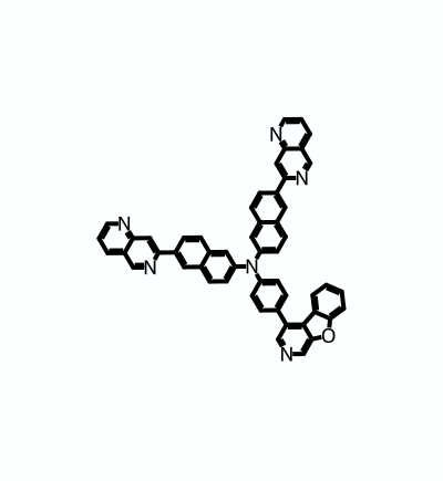 c1cnc2cc(-c3ccc4cc(N(c5ccc(-c6cncc7oc8ccccc8c67)cc5)c5ccc6cc(-c7cc8ncccc8cn7)ccc6c5)ccc4c3)ncc2c1